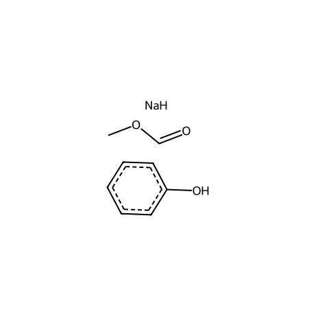 COC=O.Oc1ccccc1.[NaH]